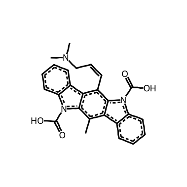 Cc1c2c3ccccc3n(C(=O)O)c2c(/C=C\CN(C)C)c2c3ccccc3n(C(=O)O)c12